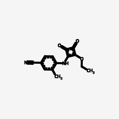 CCOc1c(Nc2ccc(C#N)cc2C)c(=O)c1=O